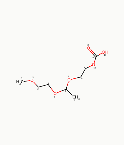 COCCOC(C)OCCOC(=O)O